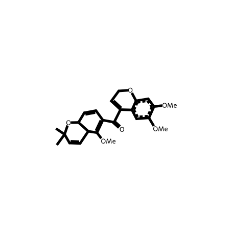 COC1=C(C(=O)C2=CCOc3cc(OC)c(OC)cc32)C=CC2OC(C)(C)C=CC12